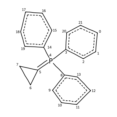 c1ccc(P(=C2CC2)(c2ccccc2)c2ccccc2)cc1